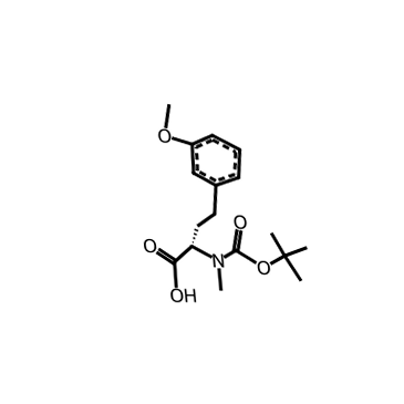 COc1cccc(CC[C@@H](C(=O)O)N(C)C(=O)OC(C)(C)C)c1